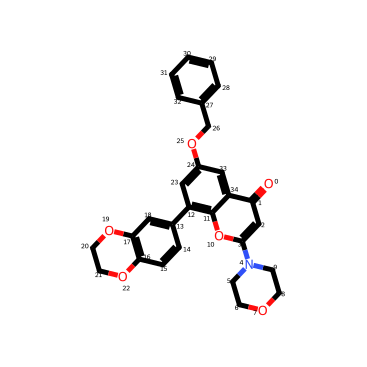 O=c1cc(N2CCOCC2)oc2c(-c3ccc4c(c3)OCCO4)cc(OCc3ccccc3)cc12